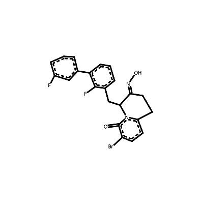 O=c1c(Br)ccc2n1C(Cc1cccc(-c3cccc(F)c3)c1F)/C(=N/O)CC2